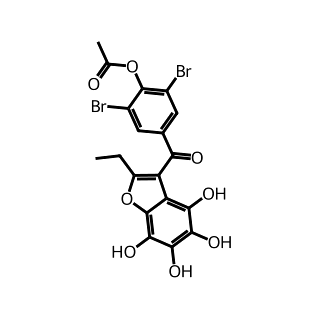 CCc1oc2c(O)c(O)c(O)c(O)c2c1C(=O)c1cc(Br)c(OC(C)=O)c(Br)c1